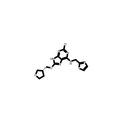 Clc1nc(NCc2nccs2)c2nc(OC[C@@H]3CCOC3)[nH]c2n1